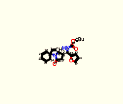 C=C[C@@]1(N2C[C@H](C(NC(=O)OC(C)(C)C)c3ccco3)CC2=O)C=CC=CC1